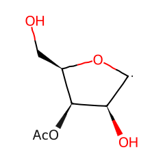 CC(=O)O[C@@H]1[C@H](O)[CH]O[C@@H]1CO